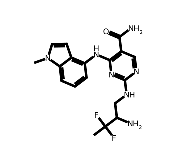 Cn1ccc2c(Nc3nc(NCC(N)C(C)(F)F)ncc3C(N)=O)cccc21